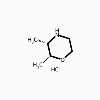 C[C@@H]1NCCO[C@@H]1C.Cl